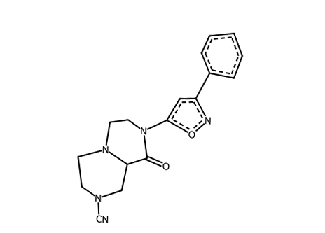 N#CN1CCN2CCN(c3cc(-c4ccccc4)no3)C(=O)C2C1